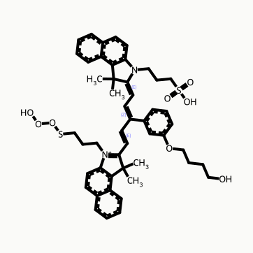 CC1(C)C(/C=C/C(=C/C=C2/N(CCCS(=O)(=O)O)c3ccc4ccccc4c3C2(C)C)c2cccc(OCCCCO)c2)=[N+](CCCSOOO)c2ccc3ccccc3c21